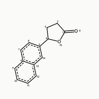 O=C1CCC(c2ccc3ccccc3c2)O1